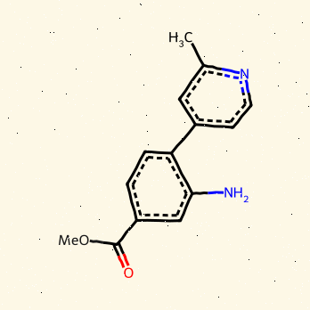 COC(=O)c1ccc(-c2ccnc(C)c2)c(N)c1